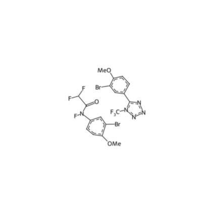 COc1ccc(-c2nnnn2C(F)(F)F)cc1Br.COc1ccc(N(F)C(=O)C(F)F)cc1Br